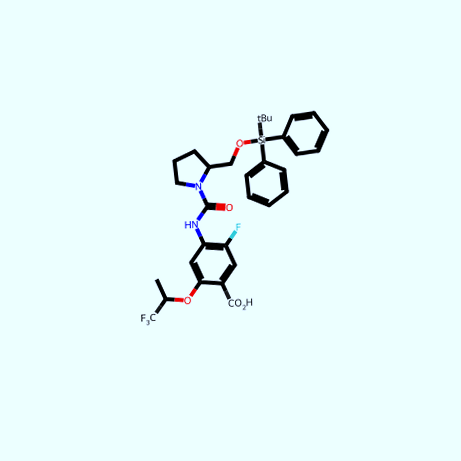 CC(Oc1cc(NC(=O)N2CCCC2CO[Si](c2ccccc2)(c2ccccc2)C(C)(C)C)c(F)cc1C(=O)O)C(F)(F)F